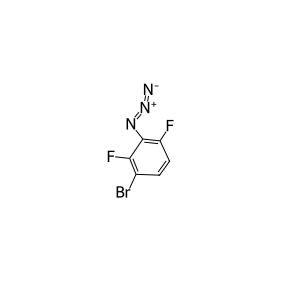 [N-]=[N+]=Nc1c(F)ccc(Br)c1F